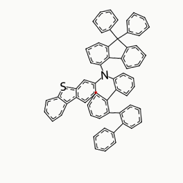 c1ccc(-c2ccccc2-c2ccccc2-c2ccccc2N(c2ccc3c(c2)sc2ccccc23)c2cccc3c2-c2ccccc2C3(c2ccccc2)c2ccccc2)cc1